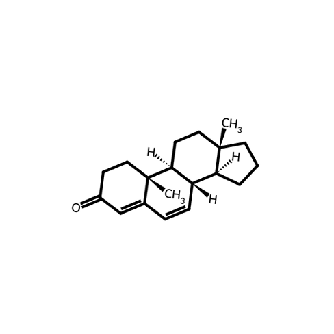 C[C@@]12CCC[C@H]1[C@@H]1C=CC3=CC(=O)CC[C@]3(C)[C@H]1CC2